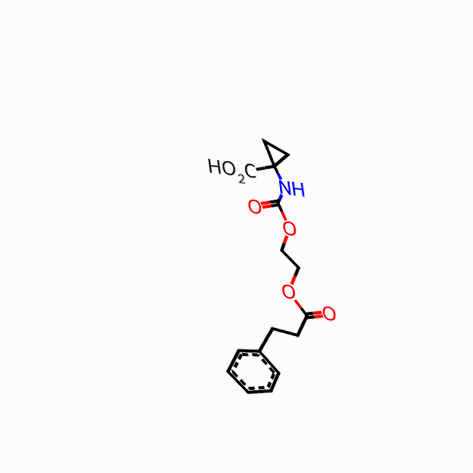 O=C(CCc1ccccc1)OCCOC(=O)NC1(C(=O)O)CC1